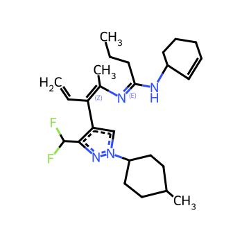 C=C/C(=C(C)/N=C(\CCC)NC1C=CCCC1)c1cn(C2CCC(C)CC2)nc1C(F)F